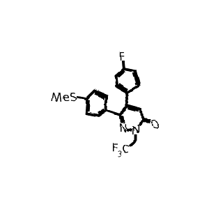 CSc1ccc(-c2nn(CC(F)(F)F)c(=O)cc2-c2ccc(F)cc2)cc1